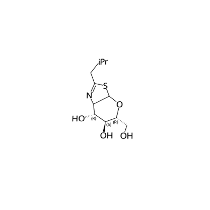 CC(C)CC1=NC2C(O[C@H](CO)[C@@H](O)[C@@H]2O)S1